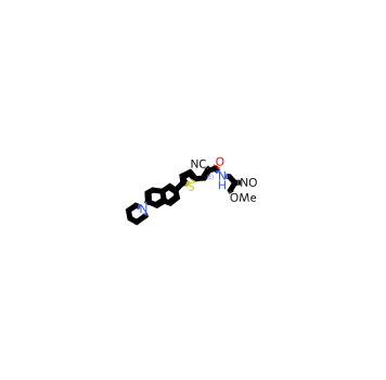 COCC(CNC(=O)/C(C#N)=C/c1ccc(C2=CC3CC=C(N4CCCCC4)C=C3C=C2)s1)N=O